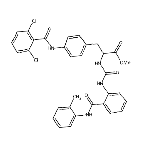 COC(=O)C(Cc1ccc(NC(=O)c2c(Cl)cccc2Cl)cc1)NC(=O)Nc1ccccc1C(=O)Nc1ccccc1C